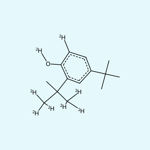 [2H]Oc1c([2H])cc(C(C)(C)C)cc1C(C)(C([2H])([2H])[2H])C([2H])([2H])[2H]